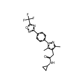 Cc1nn(-c2ccc(-c3noc(C(F)(F)F)n3)cc2)c(C)c1CC(=O)NC1CC1